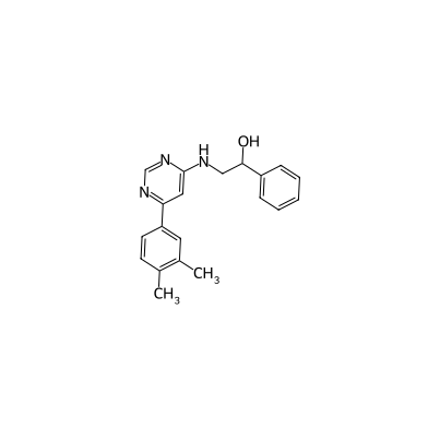 Cc1ccc(-c2cc(NCC(O)c3ccccc3)ncn2)cc1C